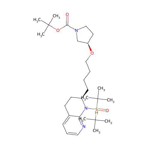 CC(C)(C)OC(=O)N1CC[C@@H](OCCCC[C@@H]2CCc3cccnc3N2[SH](=O)(C(C)(C)C)C(C)(C)C)C1